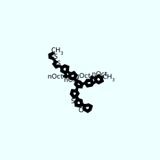 CCCCCCCCC1(CCCCCCCC)c2cc(C)ccc2-c2ccc(-c3cc(-c4ccc5c(c4)C(CCCCCCCC)(CCCCCCCC)c4cc(-c6ccc(-c7ccc(C)s7)s6)ccc4-5)cc(-c4ccc5sc6cc7oc8ccccc8c7cc6c5c4)c3)cc21